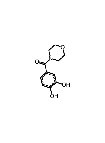 O=C(c1ccc(O)c(O)c1)N1CCOCC1